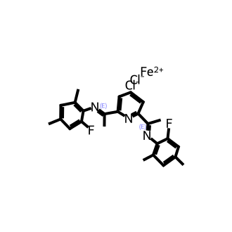 C/C(=N\c1c(C)cc(C)cc1F)c1cccc(/C(C)=N/c2c(C)cc(C)cc2F)n1.[Cl-].[Cl-].[Fe+2]